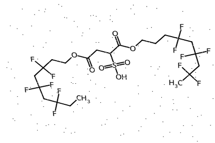 CCC(F)(F)CC(F)(F)CC(F)(F)CCOC(=O)CC(C(=O)OCCCC(F)(F)CC(F)(F)CC(C)(F)F)S(=O)(=O)O